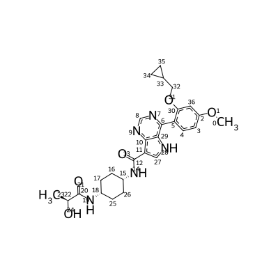 COc1ccc(-c2ncnc3c(C(=O)N[C@H]4CC[C@@H](NC(=O)[C@H](C)O)CC4)c[nH]c23)c(OCC2CC2)c1